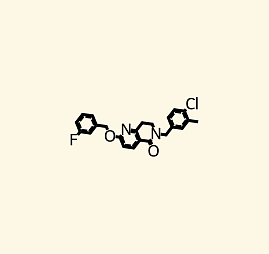 Cc1cc(CN2CCc3nc(OCc4cccc(F)c4)ccc3C2=O)ccc1Cl